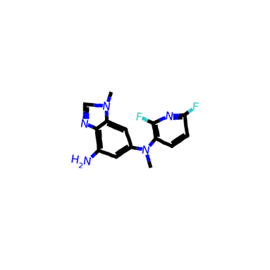 CN(c1cc(N)c2ncn(C)c2c1)c1ccc(F)nc1F